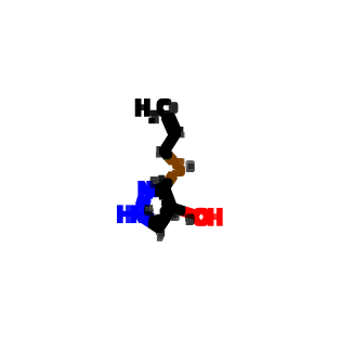 C=CCSc1n[nH]cc1O